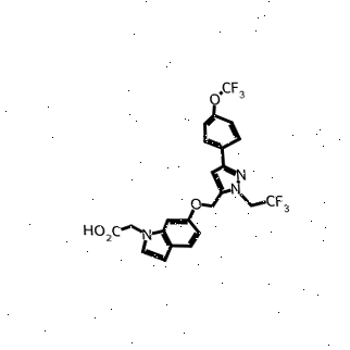 O=C(O)Cn1ccc2ccc(OCc3cc(-c4ccc(OC(F)(F)F)cc4)nn3CC(F)(F)F)cc21